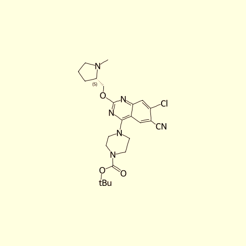 CN1CCC[C@H]1COc1nc(N2CCN(C(=O)OC(C)(C)C)CC2)c2cc(C#N)c(Cl)cc2n1